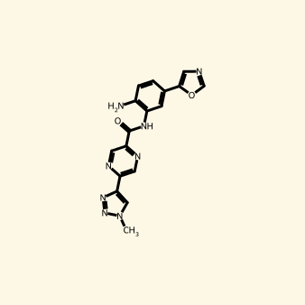 Cn1cc(-c2cnc(C(=O)Nc3cc(-c4cnco4)ccc3N)cn2)nn1